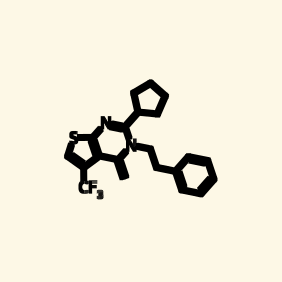 C=C1c2c(C(F)(F)F)csc2N=C(C2CCCC2)N1CCc1ccccc1